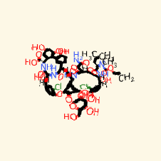 C=CCOC(=O)N(C)[C@H](CC(C)C)C(=O)N[C@H]1C(=O)C[C@@H](CC(N)=O)C(=O)N[C@H]2C(=O)C[C@H]3C(=O)N[C@H](C(=O)N[C@H](C(=O)O)c4cc(O)cc(O)c4-c4cc3ccc4O)[C@H](O)c3ccc(c(Cl)c3)Oc3cc2cc(c3OC2OC(CO)C(O)C(O)C2O)Oc2ccc(cc2Cl)[C@H]1O